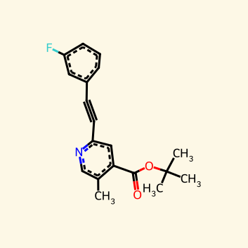 Cc1cnc(C#Cc2cccc(F)c2)cc1C(=O)OC(C)(C)C